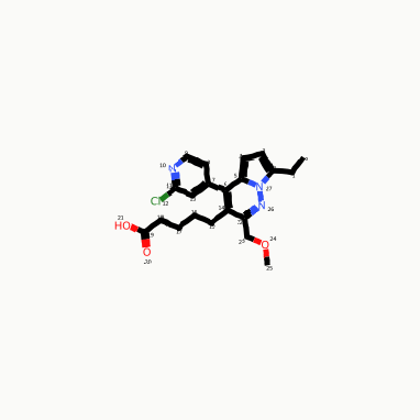 CCc1ccc2c(-c3ccnc(Cl)c3)c(CCCCC(=O)O)c(COC)nn12